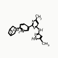 Cc1cc(Nc2cc(C)[nH]n2)nc(-c2ccc(N3CC4CC(C3)N4C(=O)O)nc2)n1